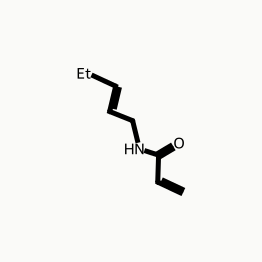 C=CC(=O)NCC=CCC